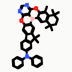 Cc1c2c(cc3c1C(C)(C)CCC3(C)C)B1c3cc4c(cc3Oc3ncnc(c31)O2)-c1ccc(N(c2ccccc2)c2ccccc2)cc1C4(C)C